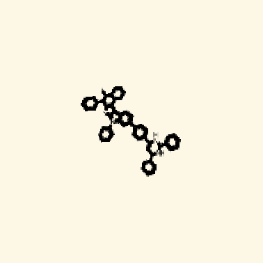 Ic1c(-c2ccccc2)c2sc3c(c4ccc(-c5ccc(C6=CC(c7ccccc7)NC(c7ccccc7)N6)cc5)cc4n3-c3ccccc3)c2c2ccccc12